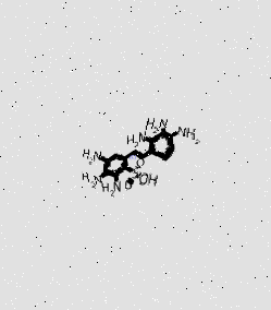 Nc1ccc(/C=C/c2cc(N)c(N)c(N)c2S(=O)(=O)O)c(N)c1N